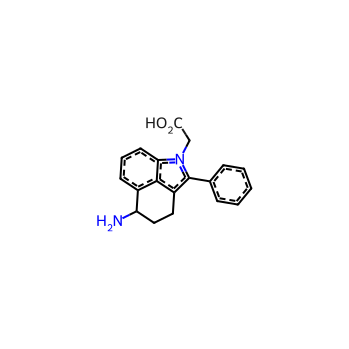 NC1CCc2c(-c3ccccc3)n(CC(=O)O)c3cccc1c23